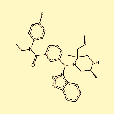 C=CC[C@]1(C)CN[C@@H](C)CN1C(c1cccc(C(=O)N(CC)c2ccc(F)cc2)c1)n1nnc2ccccc21